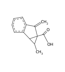 C=C1c2ccccc2C2C(C)C12C(=O)O